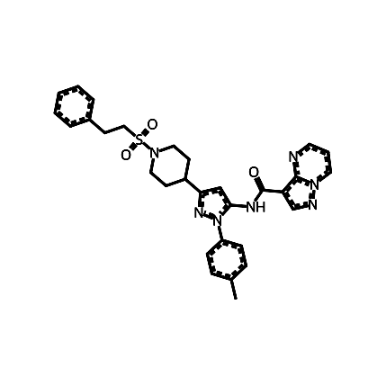 Cc1ccc(-n2nc(C3CCN(S(=O)(=O)CCc4ccccc4)CC3)cc2NC(=O)c2cnn3cccnc23)cc1